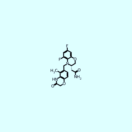 Cc1c(CN2c3c(F)cc(F)cc3OC[C@@H]2CC(N)=O)ccc2c1NC(=O)CO2